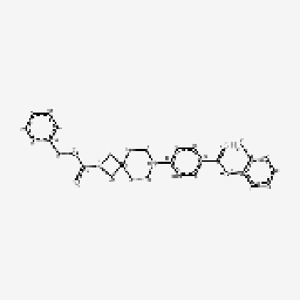 Nc1ccccc1NC(=O)c1ccc(N2CCC3(CC2)CN(C(=O)OCc2ccccc2)C3)nc1